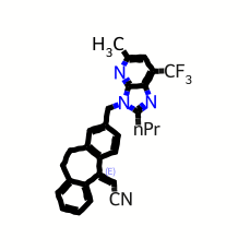 CCCc1nc2c(C(F)(F)F)cc(C)nc2n1Cc1ccc2c(c1)CCc1ccccc1/C2=C\C#N